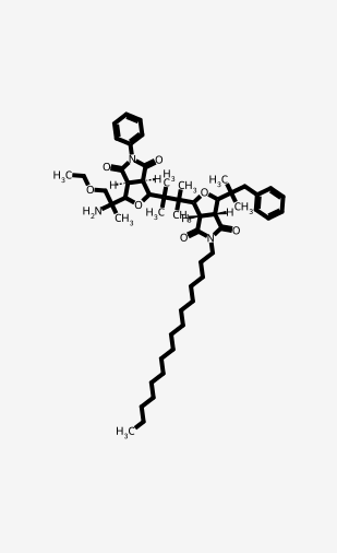 CCCCCCCCCCCCCCCCN1C(=O)[C@@H]2C(C(C)(C)C(C)(C)C3OC(C(C)(N)COCC)[C@H]4C(=O)N(c5ccccc5)C(=O)[C@@H]34)OC(C(C)(C)Cc3ccccc3)[C@@H]2C1=O